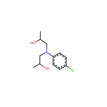 CC(O)CN(CC(C)O)c1ccc(Cl)cc1